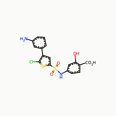 Nc1cccc(-c2cc(S(=O)(=O)Nc3ccc(C(=O)O)c(O)c3)sc2Cl)c1